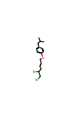 CC(C)Cc1ccc(OCCCCC(Br)CBr)cc1